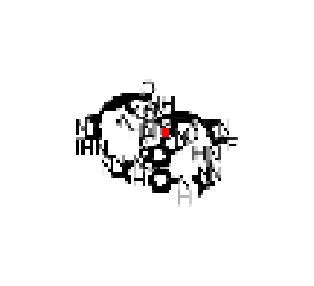 CON(Cc1ccc2cc1CCCNC(=O)c1ccc(cc1C(=O)N(C)C)-c1cnc(F)c(c1)Nc1ncc(C)c(n1)N2)C(=O)c1cc2ccc1C(=O)NCCCc1cccc(c1)Nc1nc(ncc1C)Nc1cc-2cnc1F